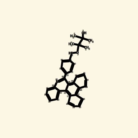 CC(C)(O)C(C)(C)OBc1ccc(-c2nc3ccccc3c3c4ccccc4c4ccccc4c23)cc1